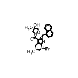 CC(C)N1CN(C)Cc2c1nn(Cc1cccc3ccccc13)c2C(=O)N1C[C@](C)(O)CO1